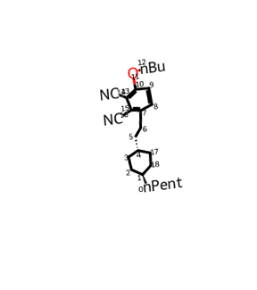 CCCCC[C@H]1CC[C@H](CCc2ccc(OCCCC)c(C#N)c2C#N)CC1